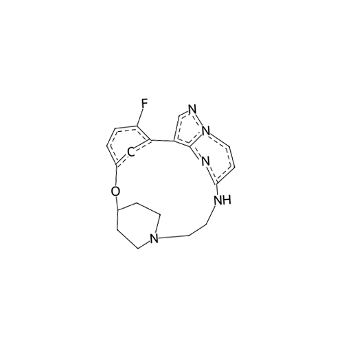 Fc1ccc2cc1-c1cnn3ccc(nc13)NCCN1CCC(CC1)O2